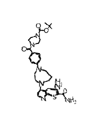 CC(C)(C)OC(=O)N1CCN(C(=O)c2ccc(N3CCCN(c4ccnc5sc(C(N)=O)c(N)c45)CC3)cc2)CC1